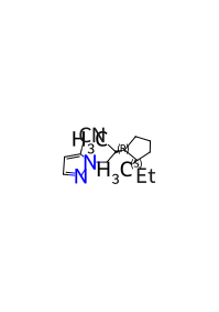 CC[C@@]1(C)CCC[C@@H]1C(C)Cn1nccc1C#N